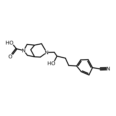 N#Cc1ccc(CCC(O)CN2CC3CC(C2)CN(C(=O)O)C3)cc1